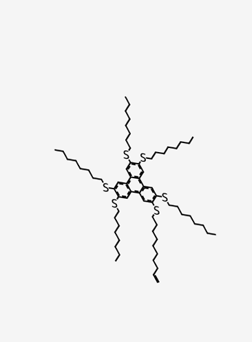 C=CCCCCCCCCSc1cc2c3cc(SCCCCCCCC)c(SCCCCCCCC)cc3c3cc(SCCCCCCCC)c(SCCCCCCCC)cc3c2cc1SCCCCCCCC